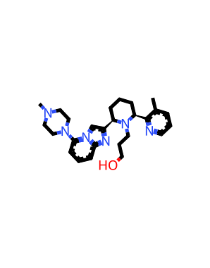 Cc1cccnc1[C@@H]1CCC[C@H](c2cn3c(N4CCN(C)CC4)cccc3n2)N1CCCO